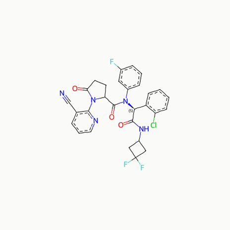 N#Cc1cccnc1N1C(=O)CCC1C(=O)N(c1cccc(F)c1)[C@H](C(=O)NC1CC(F)(F)C1)c1ccccc1Cl